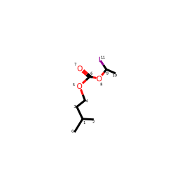 CC(C)CCOC(=O)OC(C)I